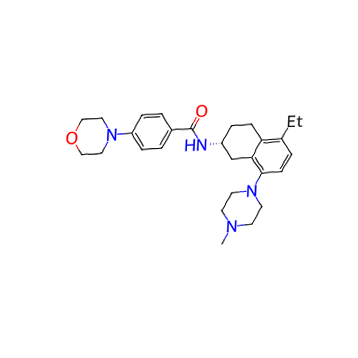 CCc1ccc(N2CCN(C)CC2)c2c1CC[C@@H](NC(=O)c1ccc(N3CCOCC3)cc1)C2